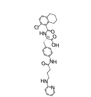 O=C(CCCNc1ccccn1)Nc1ccc(C[C@H](NC(=O)c2c(Cl)ccc3c2CCCC3)C(=O)O)cc1